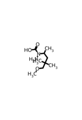 COCC(C)(C)CC(C)N(N)C(=O)O